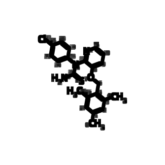 Cc1cc(C)c(COc2cccnc2N(C(N)=S)c2ccc(Cl)cc2)c(C)c1